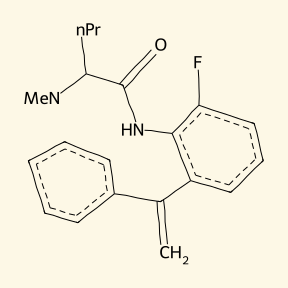 C=C(c1ccccc1)c1cccc(F)c1NC(=O)C(CCC)NC